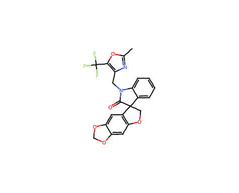 Cc1nc(CN2C(=O)C3(COc4cc5c(cc43)OCO5)c3ccccc32)c(C(F)(F)F)o1